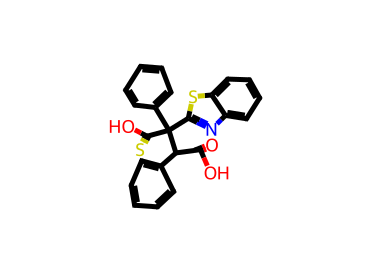 O=C(O)C(c1ccccc1)C(C(O)=S)(c1ccccc1)c1nc2ccccc2s1